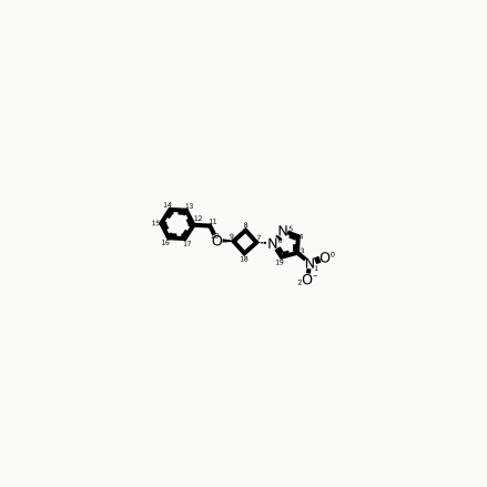 O=[N+]([O-])c1cnn([C@H]2C[C@H](OCc3ccccc3)C2)c1